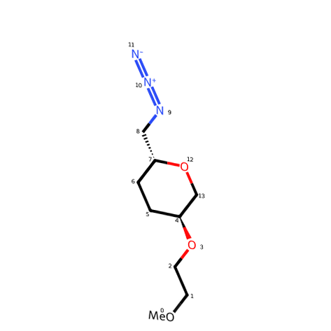 COCCO[C@H]1CC[C@H](CN=[N+]=[N-])OC1